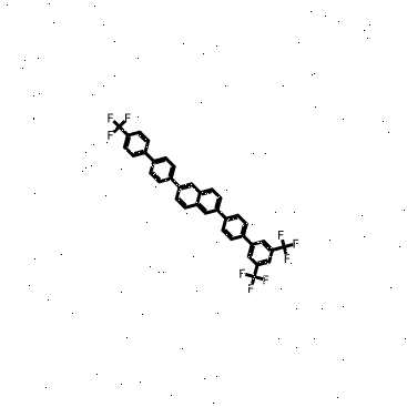 FC(F)(F)c1ccc(-c2ccc(-c3ccc4cc(-c5ccc(-c6cc(C(F)(F)F)cc(C(F)(F)F)c6)cc5)ccc4c3)cc2)cc1